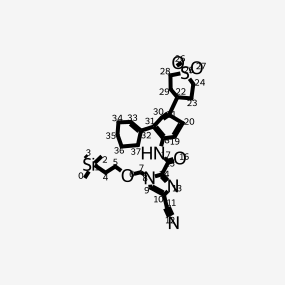 C[Si](C)(C)CCOCn1cc(C#N)nc1C(=O)Nc1ccc(C2CCS(=O)(=O)CC2)cc1C1=CCCCC1